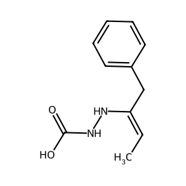 CC=C(Cc1ccccc1)NNC(=O)O